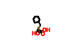 O=[As](O)(O)SCc1ccccc1